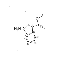 COC(=O)C1CC(N)c2ccccc21